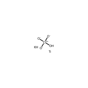 [KH].[O-][Cl+3]([O-])([O-])O.[Ti]